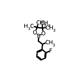 CC(CB1OC(C)(C)C(C)(C)O1)c1ccccc1F